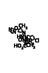 Cc1cc(/N=c2\[nH]c(=O)n(CC(C)(C)C(=O)O)c(=O)n2Cc2ccc(Cl)cc2)ccc1Oc1cnccn1